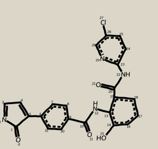 O=C1N=CC=C1c1ccc(C(=O)Nc2c(O)cccc2C(=O)Nc2ccc(Cl)cn2)cc1